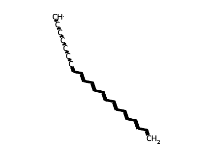 [CH]=C=C=C=C=C=C=C/C=C/C=C/C=C/C=C/C=C/C=C/C=C